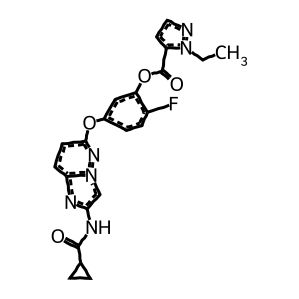 CCn1nccc1C(=O)Oc1cc(Oc2ccc3nc(NC(=O)C4CC4)cn3n2)ccc1F